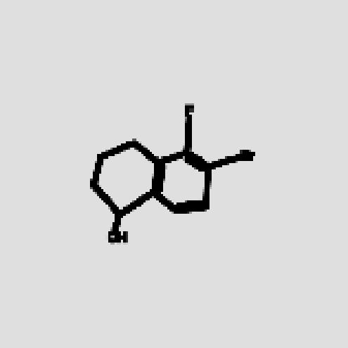 OC1CCCc2c1ccc(Br)c2F